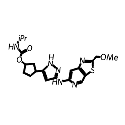 COCc1nc2cc(Nc3cc(C4CCC(OC(=O)NC(C)C)C4)[nH]n3)ncc2s1